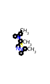 Cc1ccc2c(c1)c1ccccc1n2-c1cc(C)c2sc3c(-n4c5ccccc5c5cc(C)ccc54)nccc3c2c1